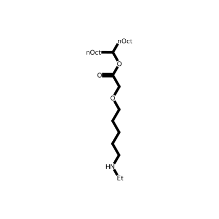 CCCCCCCCC(CCCCCCCC)OC(=O)COCCCCCNCC